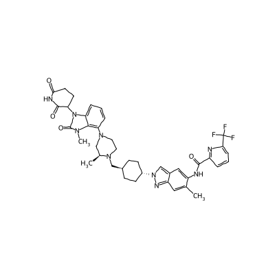 Cc1cc2nn([C@H]3CC[C@H](CN4CCN(c5cccc6c5n(C)c(=O)n6C5CCC(=O)NC5=O)C[C@@H]4C)CC3)cc2cc1NC(=O)c1cccc(C(F)(F)F)n1